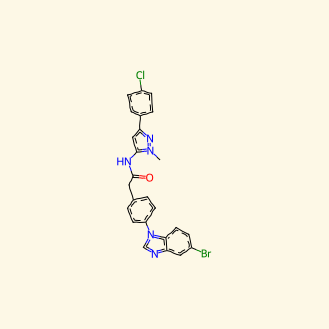 Cn1nc(-c2ccc(Cl)cc2)cc1NC(=O)Cc1ccc(-n2cnc3cc(Br)ccc32)cc1